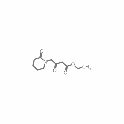 CCOC(=O)CC(=O)CN1CCCCC1=O